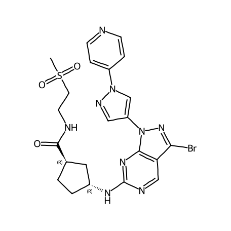 CS(=O)(=O)CCNC(=O)[C@@H]1CC[C@@H](Nc2ncc3c(Br)nn(-c4cnn(-c5ccncc5)c4)c3n2)C1